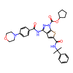 CC(C)(NC(=O)c1cc2c(NC(=O)c3ccc(N4CCOCC4)cc3)nn(C(=O)OC3CCCC3)c2s1)c1ccccc1